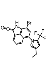 CCc1cc(C(F)(F)F)n(-c2cc(Br)c3[nH]c(=C=O)c4cccc2c34)n1